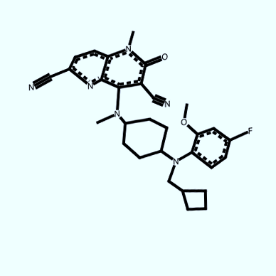 COc1cc(F)ccc1N(CC1CCC1)C1CCC(N(C)c2c(C#N)c(=O)n(C)c3ccc(C#N)nc23)CC1